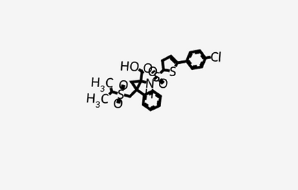 CC(C)S(=O)(=O)CC1(c2ccccc2)CC1(NS(=O)(=O)C1CC=C(c2ccc(Cl)cc2)S1)C(=O)O